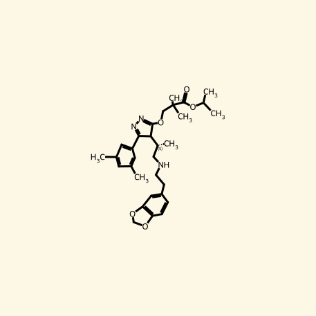 Cc1cc(C)cc(C2=NN=C(OCC(C)(C)C(=O)OC(C)C)C2[C@H](C)CNCCc2ccc3c(c2)OCO3)c1